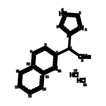 COC(c1c[nH]cn1)c1ccc2ccccc2n1.Cl.Cl